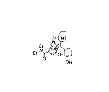 CCN(CC)C(=O)c1ccc2c(c1)Oc1c(O)cccc1C2C1CC2CCC(C1)N2Cc1ncc[nH]1